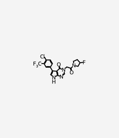 O=C(Cn1cnc2[nH]cc(-c3ccc(Cl)c(C(F)(F)F)c3)c2c1=O)N1CCC(F)C1